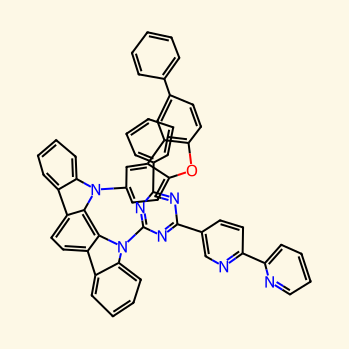 c1ccc(-c2ccc3oc4ccc(-n5c6ccccc6c6ccc7c8ccccc8n(-c8nc(-c9ccccc9)nc(-c9ccc(-c%10ccccn%10)nc9)n8)c7c65)cc4c3c2)cc1